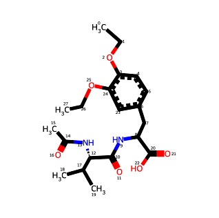 CCOc1ccc(CC(NC(=O)[C@@H](NC(C)=O)C(C)C)C(=O)O)cc1OCC